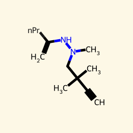 C#CC(C)(C)CN(C)NC(=C)CCC